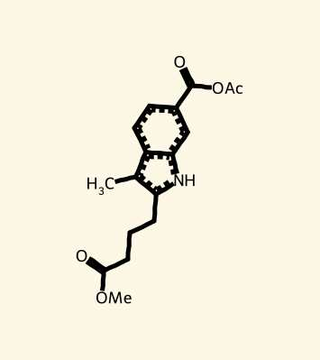 COC(=O)CCCc1[nH]c2cc(C(=O)OC(C)=O)ccc2c1C